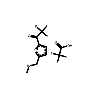 CNCc1ccc(C(=O)C(F)(F)F)s1.O=C(O)C(F)(F)F